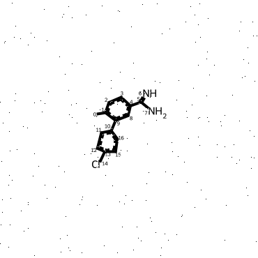 [CH2]c1ccc(C(=N)N)cc1-c1ccc(Cl)cc1